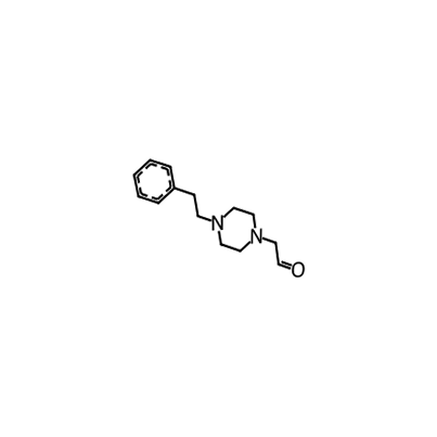 O=CCN1CCN(CCc2ccccc2)CC1